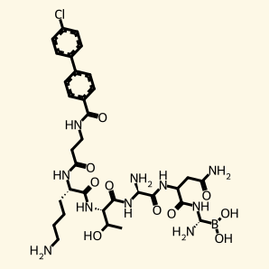 CC(O)[C@H](NC(=O)[C@H](CCCCN)NC(=O)CCNC(=O)c1ccc(-c2ccc(Cl)cc2)cc1)C(=O)N[C@@H](N)C(=O)NC(CC(N)=O)C(=O)N[C@@H](N)B(O)O